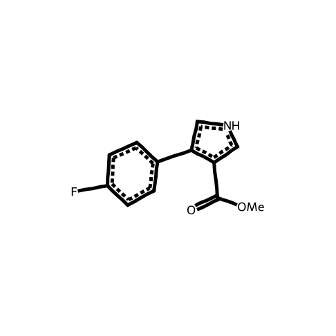 COC(=O)c1c[nH]cc1-c1ccc(F)cc1